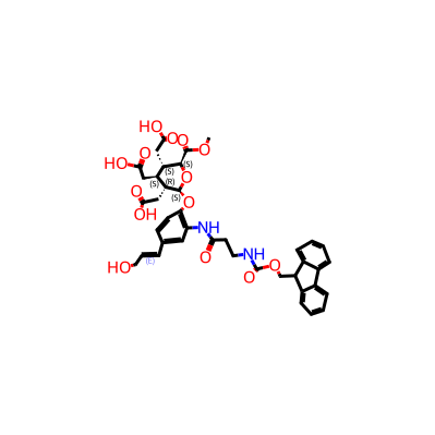 COC(=O)[C@H]1O[C@@H](Oc2ccc(/C=C/CO)cc2NC(=O)CCNC(=O)OCC2c3ccccc3-c3ccccc32)[C@H](CC(=O)O)[C@@H](CC(=O)O)[C@@H]1CC(=O)O